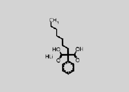 CCCCCCCC(C(=O)O)(C(=O)O)c1ccccc1.[LiH]